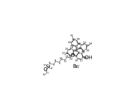 CCO[Si](C)(C)CCCCCCCCOc1ccc(O)cc1[P+](c1ccc(C)cc1)(c1ccc(C)cc1)c1ccc(C)cc1.[Br-]